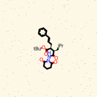 CC(C)C[C@@H](C(=O)NN1C(=O)CCCC1=O)[C@H](CC=Cc1ccccc1)C(=O)OC(C)(C)C